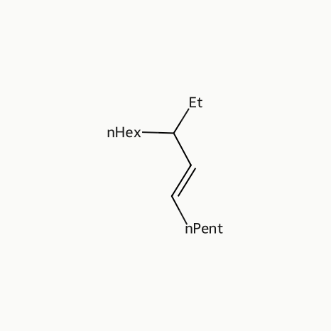 CCCCCC=CC(CC)CCCCCC